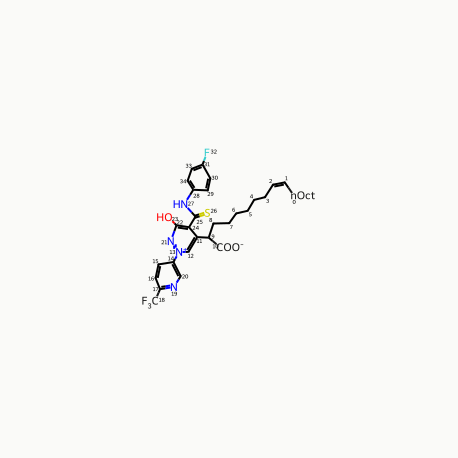 CCCCCCCC/C=C\CCCCCCC(C(=O)[O-])c1c[n+](-c2ccc(C(F)(F)F)nc2)nc(O)c1C(=S)Nc1ccc(F)cc1